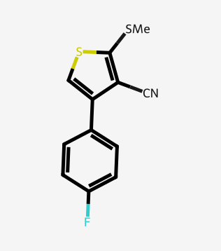 CSc1scc(-c2ccc(F)cc2)c1C#N